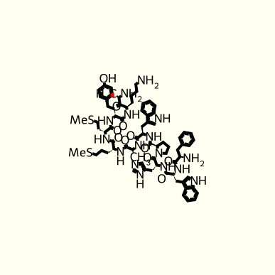 CSCCC[C@@H](NC(=O)[C@@H](C)NC(=O)[C@@H](Cc1c[nH]c2ccccc12)NC(=O)[C@H]1CCCN1C(=O)[C@@H](Cc1cnc[nH]1)NC(=O)[C@@H](Cc1c[nH]c2ccccc12)NC(=O)[C@H](N)Cc1ccccc1)C(=O)N[C@H](CCSC)C(=O)N[C@H](CCc1ccc(O)cc1)C(=O)N[C@H](CCCCN)C(=O)[C@@H](C)N